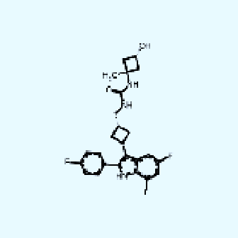 C[C@]1(NC(=O)NC[C@H]2C[C@H](c3c(-c4ccc(F)cc4)[nH]c4c(F)cc(F)cc43)C2)C[C@@H](O)C1